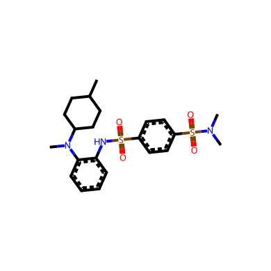 CC1CCC(N(C)c2ccccc2NS(=O)(=O)c2ccc(S(=O)(=O)N(C)C)cc2)CC1